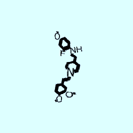 COc1ccc(NCCC2CCN(CCc3ccc(OC)c(OC)c3)CC2)c(F)c1